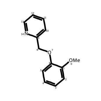 COc1c[c]ccc1OCc1ccccn1